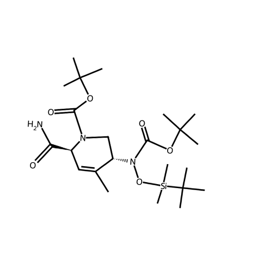 CC1=C[C@@H](C(N)=O)N(C(=O)OC(C)(C)C)C[C@@H]1N(O[Si](C)(C)C(C)(C)C)C(=O)OC(C)(C)C